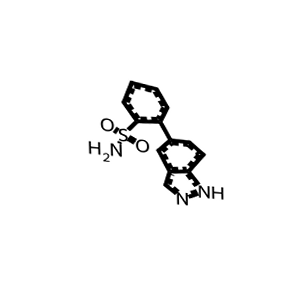 NS(=O)(=O)c1ccccc1-c1ccc2[nH]ncc2c1